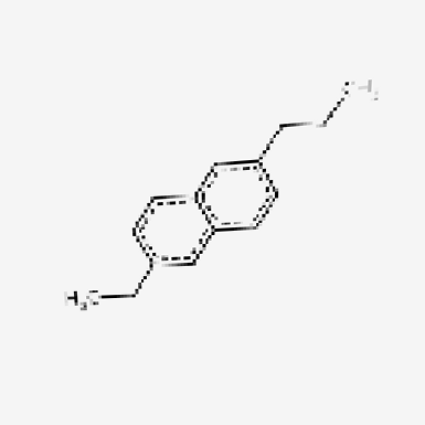 CCCc1ccc2cc(CC)ccc2c1